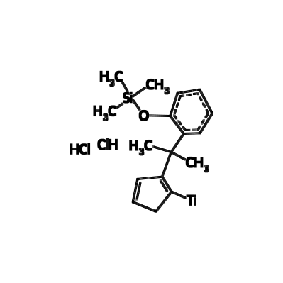 CC(C)(C1=[C]([Ti])CC=C1)c1ccccc1O[Si](C)(C)C.Cl.Cl